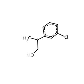 C[C](CO)c1cccc(Cl)c1